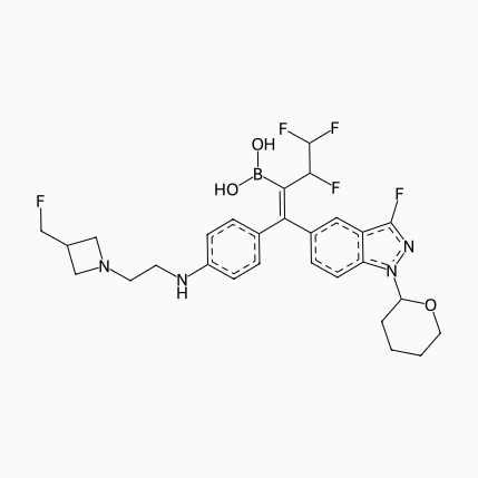 OB(O)C(=C(c1ccc(NCCN2CC(CF)C2)cc1)c1ccc2c(c1)c(F)nn2C1CCCCO1)C(F)C(F)F